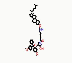 COc1ccc(C(OCC2CN(C(=O)CCCCCNCO[C@H]3CC[C@@]4(C)C(=CCC5C4CC[C@@]4(C)C5CC[C@@H]4C(C)CCCC(C)C)C3)CC2O)(c2ccccc2)c2ccc(OC)cc2)cc1